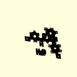 CCN1CCCC(NC(=O)Cn2c(-c3ccc(Cl)cc3)nc3cccnc32)C1.Cl.O